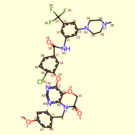 COc1ccc(CN2C(=O)COc3c(Oc4cc(C(=O)Nc5cc(N6CCN(C)CC6)cc(C(F)(F)F)c5)ccc4Cl)ncnc32)cc1